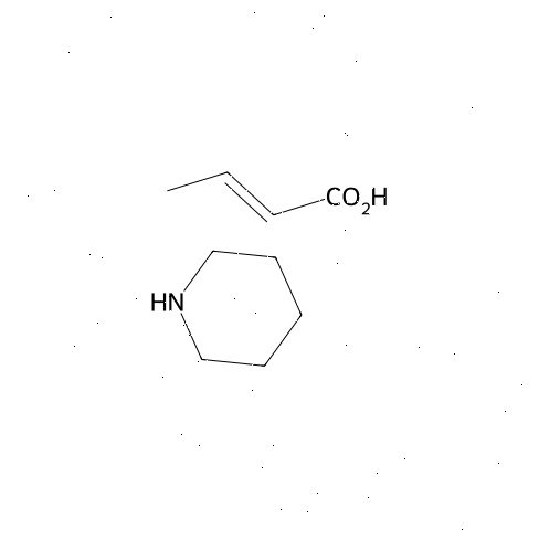 C/C=C/C(=O)O.C1CCNCC1